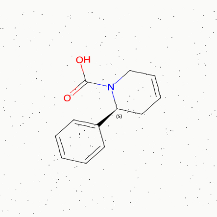 O=C(O)N1CC=CC[C@H]1c1ccccc1